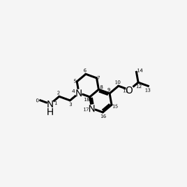 CNCCN1CCCc2c(COC(C)C)ccnc21